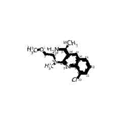 COCCN(C)c1nc2c(Cl)cccc2cc1[C@H](C)N